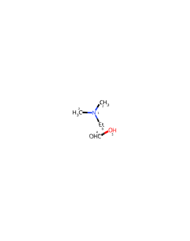 CCN(C)C.O=CO